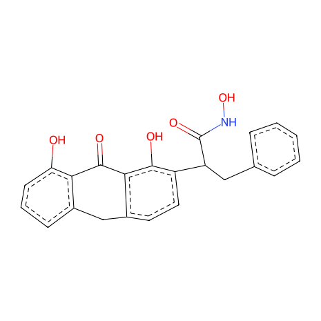 O=C1c2c(O)cccc2Cc2ccc(C(Cc3ccccc3)C(=O)NO)c(O)c21